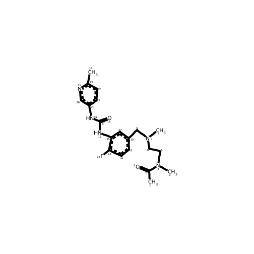 CC(=O)N(C)CCN(C)Cc1ccc(F)c(NC(=O)Nc2ccc(C)nc2)c1